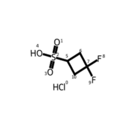 Cl.O=S(=O)(O)C1CC(F)(F)C1